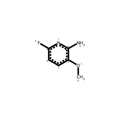 COc1ccc(F)nc1N